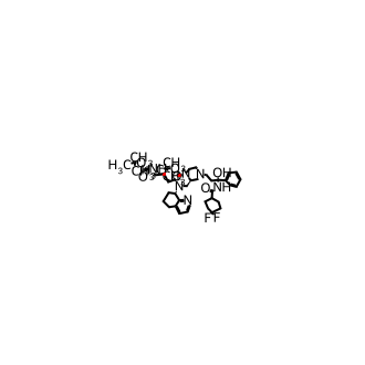 CC(C)(C)OC(=O)NCCCCN(C[C@@H]1CN(CC[C@@](O)(NC(=O)C2CCC(F)(F)CC2)c2ccccc2)CCN1C(=O)OC(C)(C)C)[C@H]1CCCc2cccnc21